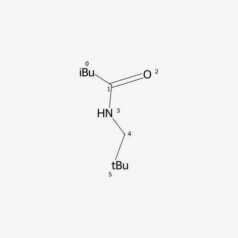 CCC(C)C(=O)NCC(C)(C)C